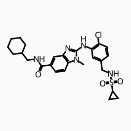 Cn1c(Nc2cc(CNS(=O)(=O)C3CC3)ccc2Cl)nc2cc(C(=O)NCC3CCCCC3)ccc21